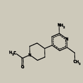 CCc1cc(C2CCN(C(C)=O)CC2)cc(N)n1